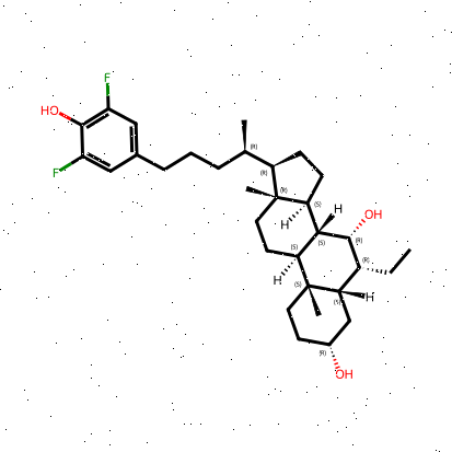 CC[C@H]1[C@@H](O)[C@@H]2[C@H](CC[C@]3(C)[C@@H]([C@H](C)CCCc4cc(F)c(O)c(F)c4)CC[C@@H]23)[C@@]2(C)CC[C@@H](O)C[C@@H]12